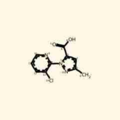 [CH2]c1cc(C(=O)O)n(-c2ncccc2Cl)n1